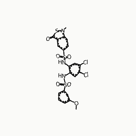 COc1cccc(S(=O)(=O)Nc2cc(Cl)c(Cl)cc2NS(=O)(=O)c2ccc3c(c2)c(=O)sn3C)c1